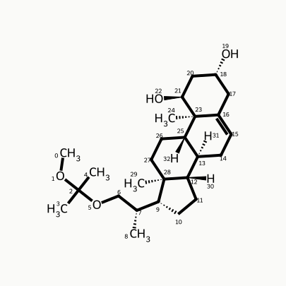 COC(C)(C)OC[C@@H](C)[C@H]1CC[C@H]2[C@@H]3CC=C4C[C@@H](O)C[C@H](O)[C@]4(C)[C@H]3CC[C@]12C